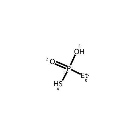 C[CH]P(=O)(O)S